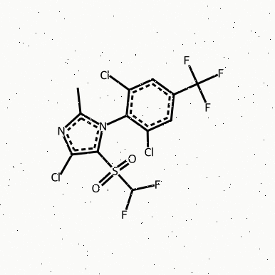 Cc1nc(Cl)c(S(=O)(=O)C(F)F)n1-c1c(Cl)cc(C(F)(F)F)cc1Cl